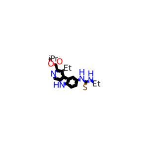 CCNC(=S)Nc1ccc2[nH]c3cnc(C(=O)OC(C)C)c(CC)c3c2c1